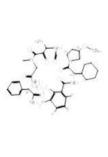 CCCC(NC(=O)[C@@H]1C[C@@H](OC(C)(C)C)CN1C(=O)[C@@H](NC(=O)c1c(F)c(F)c(F)c(F)c1C(=O)O)C1CCCCC1)C(=O)C(=O)N(C)CC(=O)N[C@H](C(N)=O)c1ccccc1